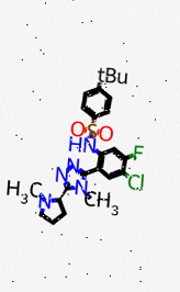 CN1CCC[C@@H]1c1nnc(-c2cc(Cl)c(F)cc2NS(=O)(=O)c2ccc(C(C)(C)C)cc2)n1C